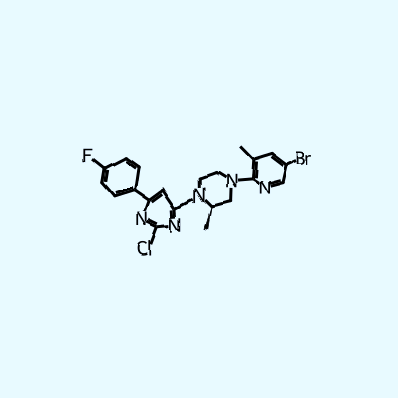 Cc1cc(Br)cnc1N1CCN(c2cc(-c3ccc(F)cc3)nc(Cl)n2)[C@H](C)C1